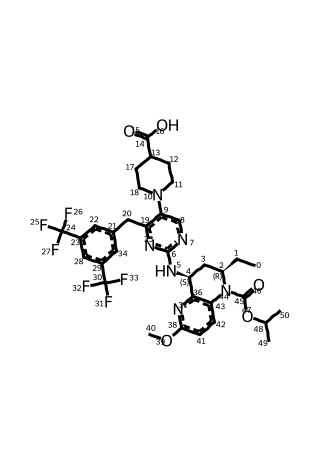 CC[C@@H]1C[C@H](Nc2ncc(N3CCC(C(=O)O)CC3)c(Cc3cc(C(F)(F)F)cc(C(F)(F)F)c3)n2)c2nc(OC)ccc2N1C(=O)OC(C)C